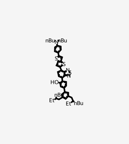 CCCCC(CC)Cc1cc(CC(CC)CCCC)cc(-c2ccc(-c3ccc(-c4cc5sc(-c6ccc(N(CCCC)CCCC)cc6)cc5s4)c4nsnc34)c(O)c2)c1